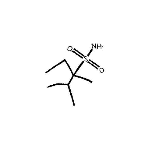 CCC(C)(C(C)C)S([NH])(=O)=O